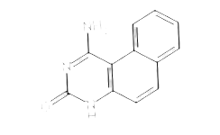 Nc1nc(=O)[nH]c2ccc3ccccc3c12